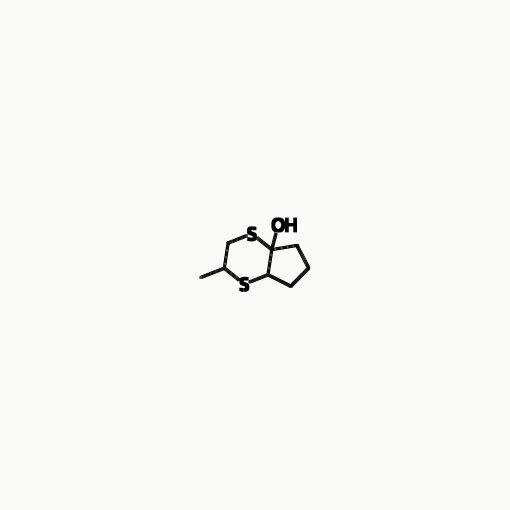 CC1CSC2(O)CCCC2S1